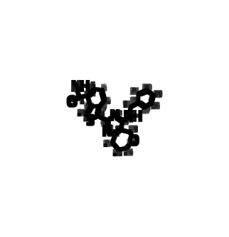 NC(=O)c1cccc2c(-c3nc4c(c(NCc5ccccc5)n3)COCCC4)scc12